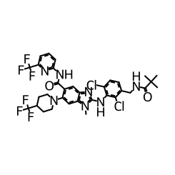 Cn1c(Nc2c(Cl)ccc(CNC(=O)C(C)(C)C)c2Cl)nc2cc(C(=O)Nc3cccc(C(F)(F)F)n3)c(N3CCC(C(F)(F)F)CC3)cc21